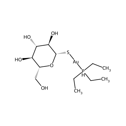 CC[PH](CC)(CC)[Au][S][C@@H]1O[C@H](CO)[C@@H](O)[C@H](O)[C@H]1O